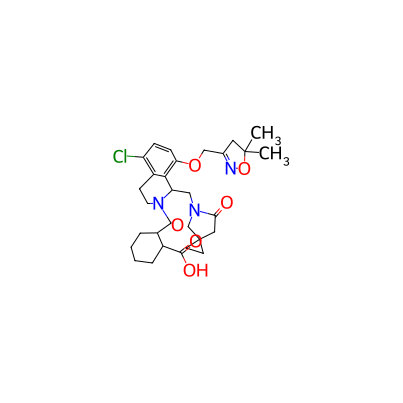 CC1(C)CC(COc2ccc(Cl)c3c2C(CN2CC4(CC4)CC2=O)N(C(=O)C2CCCCC2C(=O)O)CC3)=NO1